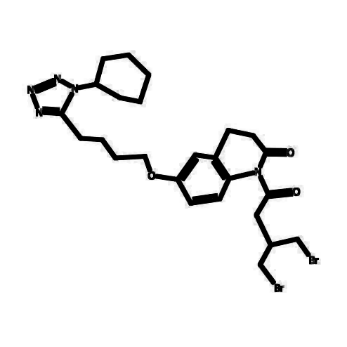 O=C1CCc2cc(OCCCCc3nnnn3C3CCCCC3)ccc2N1C(=O)CC(CBr)CBr